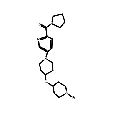 CC(C)N1CCC(OC2CCN(c3ccc(C(=O)N4CCCC4)nc3)CC2)CC1